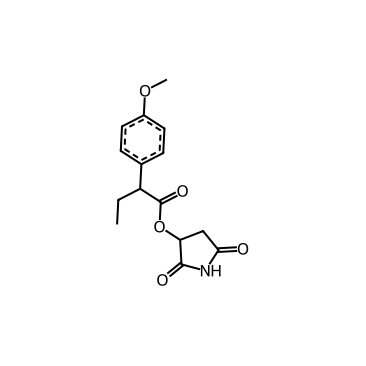 CCC(C(=O)OC1CC(=O)NC1=O)c1ccc(OC)cc1